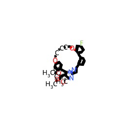 COC(=O)[C@@H](OC(C)(C)C)c1c(C)nc2cc3nn2c1-c1ccc(cc1)OCCCCCCOc1cc(F)ccc1-c1cccc-3c1